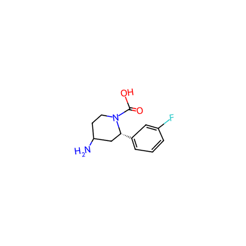 NC1CCN(C(=O)O)[C@H](c2cccc(F)c2)C1